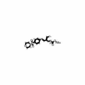 CC(C)(C)OC(=O)NCC(=CF)/C=N/c1ccc(S(=O)(=O)N2CCOCC2)cc1